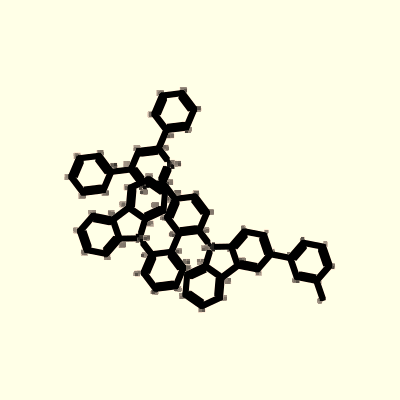 Cc1cccc(-c2ccc3c(c2)c2ccccc2n3-c2ccc(-c3nc(-c4ccccc4)cc(-c4ccccc4)n3)cc2-c2ccccc2-n2c3ccccc3c3ccccc32)c1